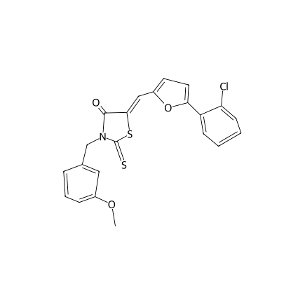 COc1cccc(CN2C(=O)C(=Cc3ccc(-c4ccccc4Cl)o3)SC2=S)c1